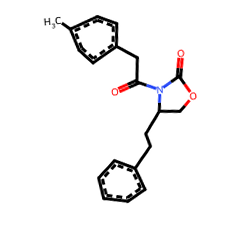 Cc1ccc(CC(=O)N2C(=O)OCC2CCc2ccccc2)cc1